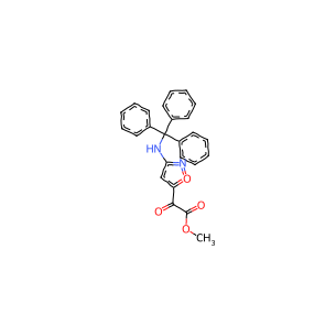 COC(=O)C(=O)c1cc(NC(c2ccccc2)(c2ccccc2)c2ccccc2)no1